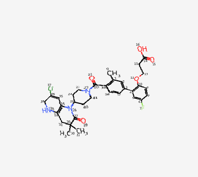 Cc1cc(-c2cc(F)ccc2OCCC(=O)O)ccc1C(=O)N1CCC(N2C(=O)C(C)(C)CC3=C2C=C(Cl)CN3)CC1